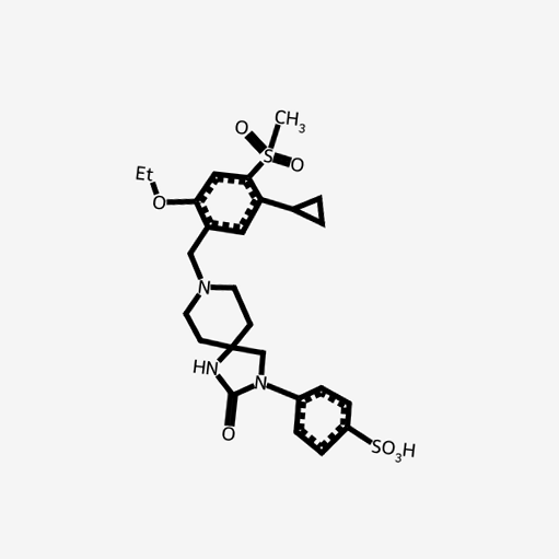 CCOc1cc(S(C)(=O)=O)c(C2CC2)cc1CN1CCC2(CC1)CN(c1ccc(S(=O)(=O)O)cc1)C(=O)N2